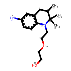 CC1Cc2cc(N)ccc2N(CCOCCO)C1(C)C